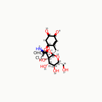 N=C(O[C@@]1(CC2=CC(=O)C(=O)CC2=O)O[C@H](CO)[C@@H](O)[C@H](O)[C@@]1(O)C(=O)C=O)C(Cl)(Cl)Cl